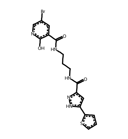 O=C(NCCCNC(=O)c1cc(Br)cnc1O)c1cc(-c2cccs2)[nH]n1